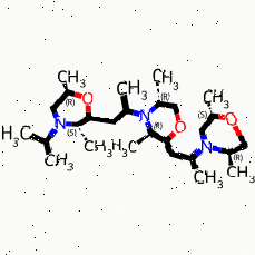 CC(CC1OC[C@@H](C)N(C(C)CC2O[C@H](C)CN(C(C)C)[C@H]2C)[C@@H]1C)N1C[C@H](C)OC[C@H]1C